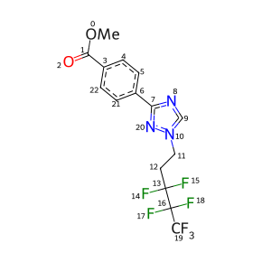 COC(=O)c1ccc(-c2ncn(CCC(F)(F)C(F)(F)C(F)(F)F)n2)cc1